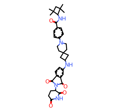 CC1(C)CC(C)(C)C1NC(=O)c1ccc(N2CCC3(CC2)CC(Nc2ccc4c(c2)C(=O)N(C2CCC(=O)NC2=O)C4=O)C3)cc1